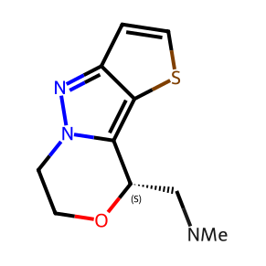 CNC[C@@H]1OCCn2nc3ccsc3c21